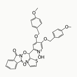 COc1ccc(COc2cc(C(ON3C(=O)c4ccccc4C3=O)c3nccs3)[n+](O)cc2OCc2ccc(OC)cc2)cc1